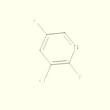 Fc1cnc(F)c(Cl)c1